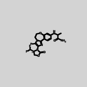 CC(Nc1ccc2c(c1)OCCn1c-2nc(N2C(=O)OC[C@H]2C(F)F)c1F)C(N)=O